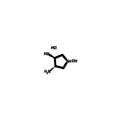 Cl.Cl.N[C@H]1CNC[C@@H]1O